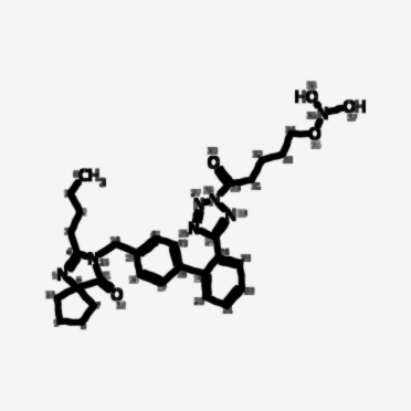 CCCCC1=NC2(CCCC2)C(=O)N1Cc1ccc(-c2ccccc2-c2nnn(C(=O)CCCCON(O)O)n2)cc1